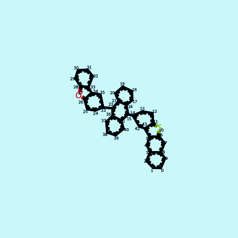 c1ccc2cc3c(cc2c1)sc1ccc(-c2c4ccccc4c(-c4ccc5oc6ccccc6c5c4)c4ccccc24)cc13